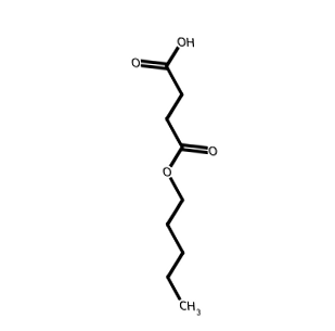 CCCCCOC(=O)CCC(=O)O